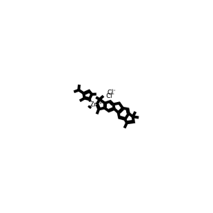 [CH2]=[Zr+2]([C]1=C(C)C(C(C)C)=CC1C)[C]1=C(C)c2cc3c(cc2C1(C)C)Cc1cc2c(cc1-3)C(C)=CC2(C)C.[Cl-].[Cl-]